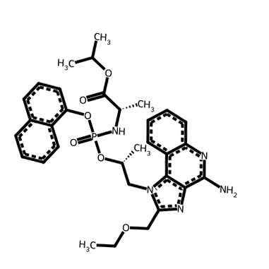 CCOCc1nc2c(N)nc3ccccc3c2n1C[C@@H](C)OP(=O)(N[C@@H](C)C(=O)OC(C)C)Oc1cccc2ccccc12